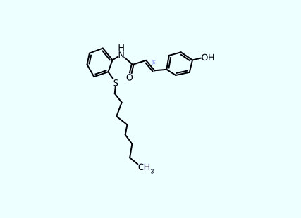 CCCCCCCCSc1ccccc1NC(=O)/C=C/c1ccc(O)cc1